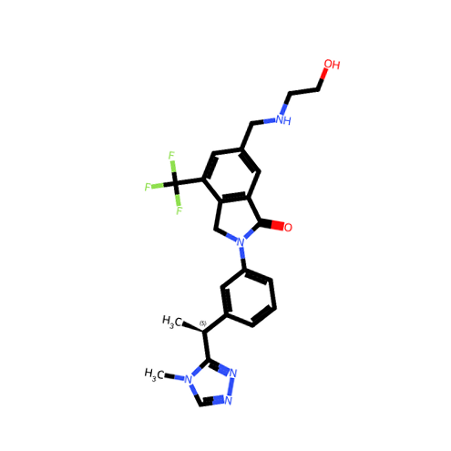 C[C@@H](c1cccc(N2Cc3c(cc(CNCCO)cc3C(F)(F)F)C2=O)c1)c1nncn1C